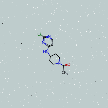 O=C(N1CCC(Nc2ccnc(Cl)n2)CC1)C(F)(F)F